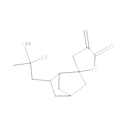 C=C1CC2(CC3CC(CC(C)(O)C(F)(F)F)C2C3)OC1=O